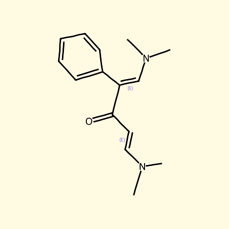 CN(C)/C=C/C(=O)/C(=C/N(C)C)c1ccccc1